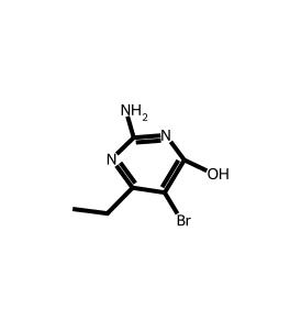 CCc1nc(N)nc(O)c1Br